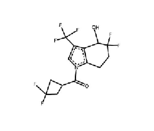 O=C(C1CC(F)(F)C1)n1cc(C(F)(F)F)c2c1CCC(F)(F)C2O